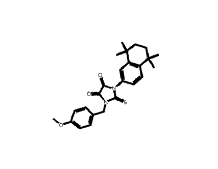 COc1ccc(CN2C(=O)C(=O)N(c3ccc4c(c3)C(C)(C)CCC4(C)C)C2=S)cc1